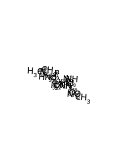 COc1cncc(-c2ccc3[nH]nc(-c4cc5c(-c6cc(F)cc(NCCN(C)C)c6)nccc5[nH]4)c3n2)c1